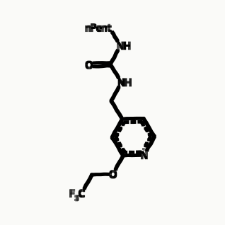 CCCCCNC(=O)NCc1ccnc(OCC(F)(F)F)c1